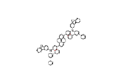 c1ccc(-c2ccc(N(c3ccc(-c4ccc5ccc6c(-c7ccc(N(c8ccc9oc%10ccccc%10c9c8)c8ccc(-c9ccccc9)cc8-c8ccccc8)cc7)ccc7ccc4c5c76)cc3)c3ccc4oc5ccccc5c4c3)c(-c3ccccc3)c2)cc1